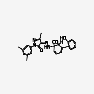 CC1=NN(c2cc(C)cc(C)c2)C(=O)C1=NNC1(C(=O)O)C=CC=C(c2ccccc2O)C1